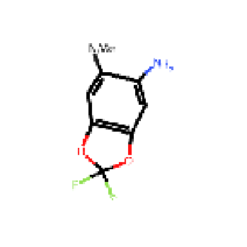 CNc1cc2c(cc1N)OC(F)(F)O2